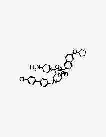 NC1CCN(C(=O)C2CN(Cc3ccc(-c4ccc(Cl)cc4)cc3)CCN2S(=O)(=O)c2ccc3cc(OC4CCCC4)ccc3c2)CC1